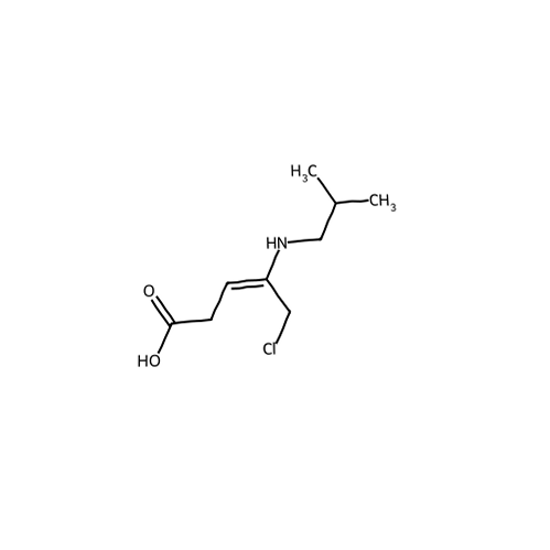 CC(C)CNC(=CCC(=O)O)CCl